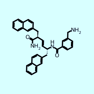 NCc1cccc(C(=O)N[C@@H](C=C[C@H](Cc2ccc3ccccc3c2)C(N)=O)Cc2ccc3ccccc3c2)c1